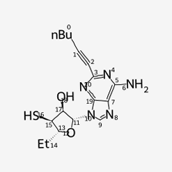 CCCCC#Cc1nc(N)c2ncn([C@@H]3O[C@H](CC)[C@@H](S)[C@H]3O)c2n1